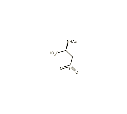 CC(=O)N[C@@H](C[SH](=O)=O)C(=O)O